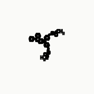 C=CC(=O)OCCc1ccc(N(c2ccc(C=C(c3ccccc3)c3ccccc3)cc2)c2ccc(CCOC(=O)C=C)cc2)cc1